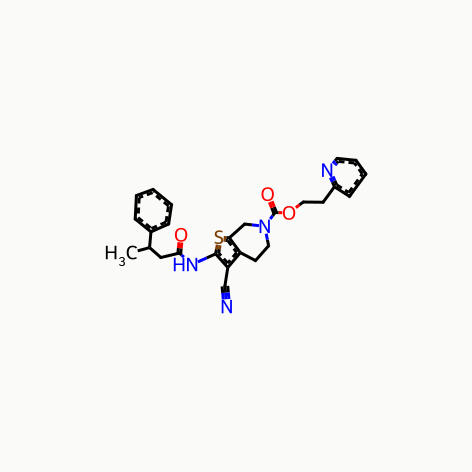 CC(CC(=O)Nc1sc2c(c1C#N)CCN(C(=O)OCCc1ccccn1)C2)c1ccccc1